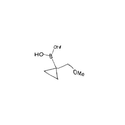 COCC1(B(O)O)CC1